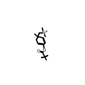 CC1(C[N+](C)(C)C)C=CC(OC(=O)C(C)(C)C)=CC1